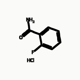 Cl.NC(=O)c1ccccc1F